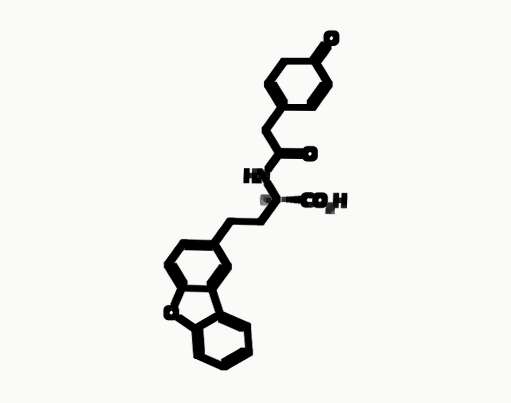 O=C1C=CC(CC(=O)N[C@@H](CCc2ccc3oc4ccccc4c3c2)C(=O)O)=CC1